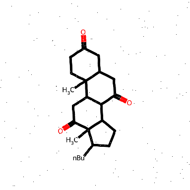 CCCCC1CCC2C3C(=O)CC4CC(=O)CCC4(C)C3CC(=O)C12C